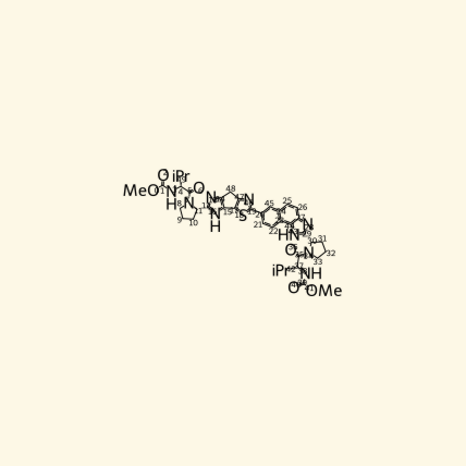 COC(=O)N[C@H](C(=O)N1CCC[C@H]1c1nc2c([nH]1)-c1sc(-c3ccc4c(ccc5nc([C@@H]6CCCN6C(=O)[C@@H](NC(=O)OC)C(C)C)[nH]c54)c3)nc1C2)C(C)C